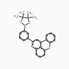 CC1(C)OB(c2cccc(-c3cc4c5c(cccc5n3)Sc3ccccc3-4)c2)OC1(C)C